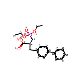 CCOP(=O)(C[C@@H](Cc1ccc(-c2ccccc2)cc1)C(=O)O)OCC